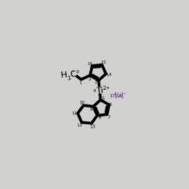 CCC1=[C]([Ti+2][CH]2C=CC3=C2CCCC3)CC=C1.[I-].[I-]